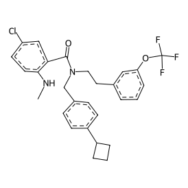 CNc1ccc(Cl)cc1C(=O)N(CCc1cccc(OC(F)(F)F)c1)Cc1ccc(C2CCC2)cc1